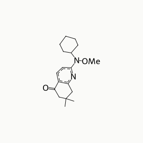 CON(c1ccc2c(n1)CC(C)(C)CC2=O)C1CCCCC1